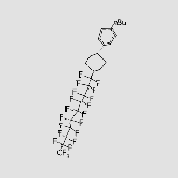 CCCCc1ccc([C@H]2CC[C@H](C(F)(F)C(F)(F)C(F)(F)C(F)(F)C(F)(F)C(F)(F)C(F)(F)C(F)(F)C(F)(F)C(F)(F)F)CC2)cc1